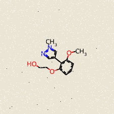 COc1c[c]cc(OCCO)c1-c1cnn(C)c1